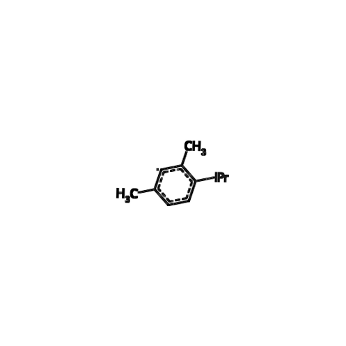 Cc1[c]c(C)c(C(C)C)cc1